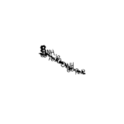 CCC(=O)NCCOCCOCC(=O)NCCOCCOCC(=O)NCCCC[C@@H](N)C(=O)N1Cc2ccccc2C[C@@H]1C(C)=O